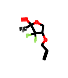 C=CCOC1COC(O)(C(F)(F)F)C1(F)F